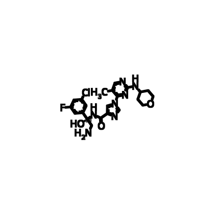 Cc1cnc(NC2CCOCC2)nc1-n1cnc(C(=O)N[C@@](O)(CN)c2cc(F)cc(Cl)c2)c1